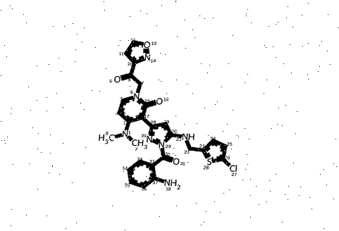 CN(C)c1ccn(CC(=O)c2ccon2)c(=O)c1-c1cc(NCc2ccc(Cl)s2)n(C(=O)c2ccccc2N)n1